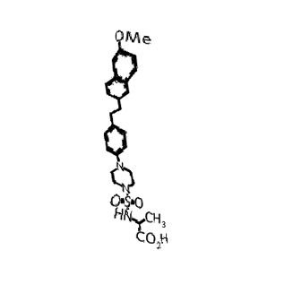 COc1ccc2cc(CCc3ccc(N4CCN(S(=O)(=O)N[C@@H](C)C(=O)O)CC4)cc3)ccc2c1